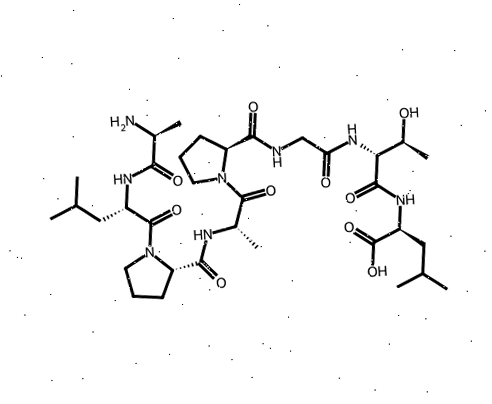 CC(C)C[C@H](NC(=O)[C@H](NC(=O)CNC(=O)[C@@H]1CCCN1C(=O)[C@H](C)NC(=O)[C@@H]1CCCN1C(=O)[C@H](CC(C)C)NC(=O)[C@H](C)N)[C@H](C)O)C(=O)O